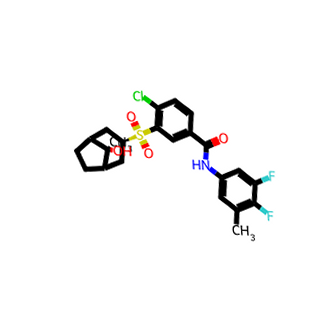 Cc1cc(NC(=O)c2ccc(Cl)c(S(=O)(=O)[C@H]3CC4CCC(C3)[C@@]4(C)O)c2)cc(F)c1F